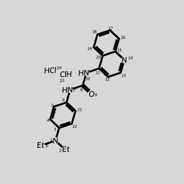 CCN(CC)c1ccc(NC(=O)Nc2ccnc3ccccc23)cc1.Cl.Cl